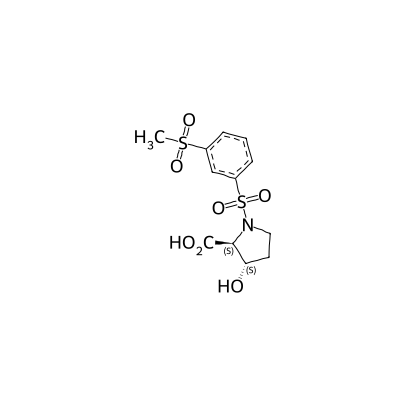 CS(=O)(=O)c1cccc(S(=O)(=O)N2CC[C@H](O)[C@H]2C(=O)O)c1